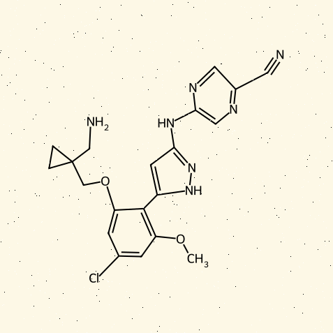 COc1cc(Cl)cc(OCC2(CN)CC2)c1-c1cc(Nc2cnc(C#N)cn2)n[nH]1